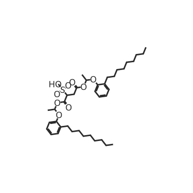 CCCCCCCCCc1ccccc1OC(C)OC(=O)CC(C(=O)OC(C)Oc1ccccc1CCCCCCCCC)S(=O)(=O)O